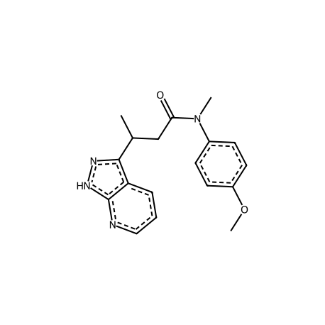 COc1ccc(N(C)C(=O)CC(C)c2n[nH]c3ncccc23)cc1